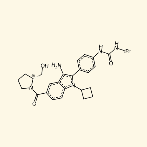 CC(C)NC(=O)Nc1ccc(-c2c(N)c3cc(C(=O)N4CCC[C@@H]4CO)ccc3n2C2CCC2)cc1